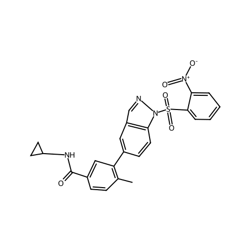 Cc1ccc(C(=O)NC2CC2)cc1-c1ccc2c(cnn2S(=O)(=O)c2ccccc2[N+](=O)[O-])c1